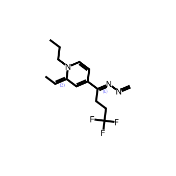 C=N/N=C(\CCC(F)(F)F)C1=C/C(=C/C)N(CCC)C=C1